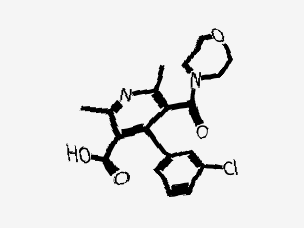 Cc1nc(C)c(C(=O)N2CCOCC2)c(-c2cccc(Cl)c2)c1C(=O)O